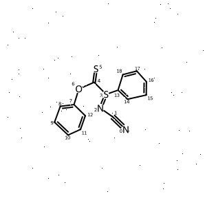 N#CN=S(C(=S)Oc1ccccc1)c1ccccc1